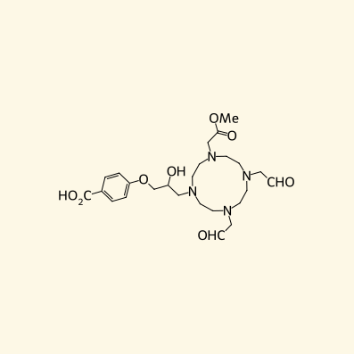 COC(=O)CN1CCN(CC=O)CCN(CC=O)CCN(CC(O)COc2ccc(C(=O)O)cc2)CC1